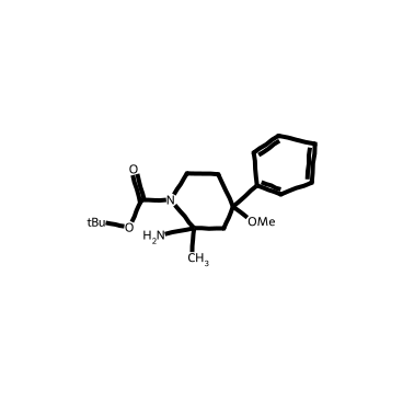 COC1(c2ccccc2)CCN(C(=O)OC(C)(C)C)C(C)(N)C1